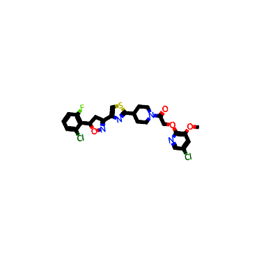 COc1cc(Cl)cnc1OCC(=O)N1CCC(c2nc(C3=NOC(c4c(F)cccc4Cl)C3)cs2)CC1